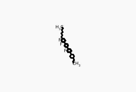 C/C=C/C1CCC(c2ccc(-c3ccc(-c4ccc(CCCCCCC)c(F)c4F)cc3)c(F)c2)CC1